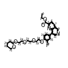 CCOC(=O)c1ccc2cncc(-c3ccc(OCCOCCOCCOC4CCCCO4)c(F)c3)c2n1